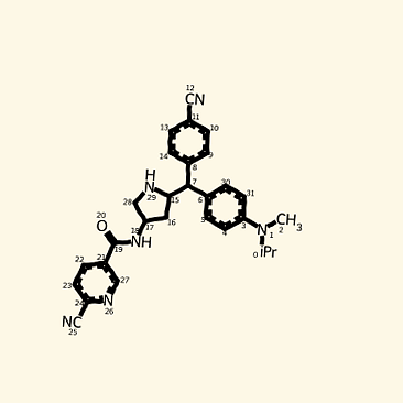 CC(C)N(C)c1ccc(C(c2ccc(C#N)cc2)C2CC(NC(=O)c3ccc(C#N)nc3)CN2)cc1